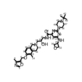 Cc1ncoc1COc1ccc2c(c1C)CCN(C[C@@H](O)CNC(=O)c1cc(NC3COC3)nc(N3CCN(C(C)(C)C)CC3)n1)C2